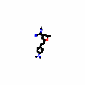 [C-]#[N+]/C(C#N)=C1\C=C(C)OC(C=Cc2ccc(N(C)C)cc2)=C1